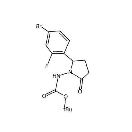 CC(C)(C)OC(=O)NN1C(=O)CCC1c1ccc(Br)cc1F